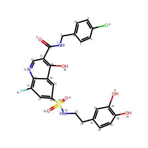 O=C(NCc1ccc(Cl)cc1)c1cnc2c(F)cc(S(=O)(=O)NCCc3ccc(O)c(O)c3)cc2c1O